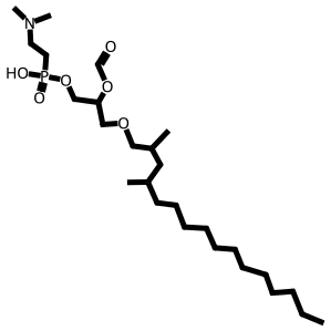 CCCCCCCCCCCCC(C)CC(C)COCC(COP(=O)(O)CCN(C)C)OC=O